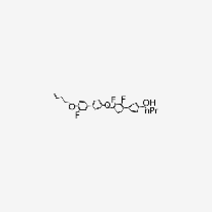 C=CCCCOc1ccc(-c2ccc(OCc3ccc(-c4ccc(C(O)CCC)cc4)c(F)c3F)cc2)cc1F